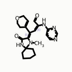 CN1/C(=C(\C=C(/C=O)Nc2ccncn2)C2=CCOCC2)C(=O)NC12CCCCC2